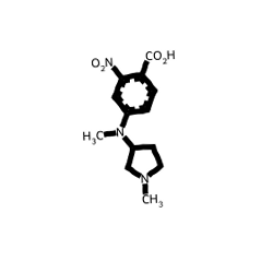 CN1CCC(N(C)c2ccc(C(=O)O)c([N+](=O)[O-])c2)C1